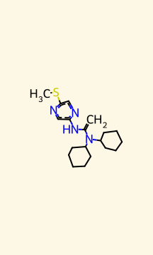 C=C(Nc1cnc(SC)cn1)N(C1CCCCC1)C1CCCCC1